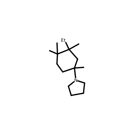 CCC1(C)CC(C)(N2CCCC2)CCC1(C)C